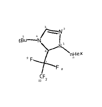 CCCCCCN1N=CN(C(C)(C)C)C1C(F)(F)C(F)(F)F